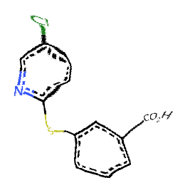 O=C(O)c1cccc(Sc2ccc(Cl)cn2)c1